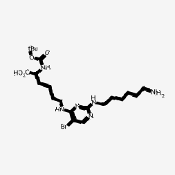 CC(C)(C)OC(=O)NC(CCCCNc1nc(NCCCCCCN)ncc1Br)C(=O)O